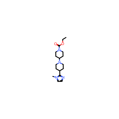 CCOC(=O)N1CCC(N2CCC(c3nccn3C)CC2)CC1